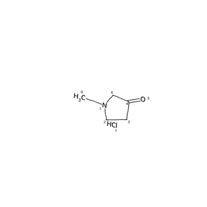 CN1CCC(=O)C1.Cl